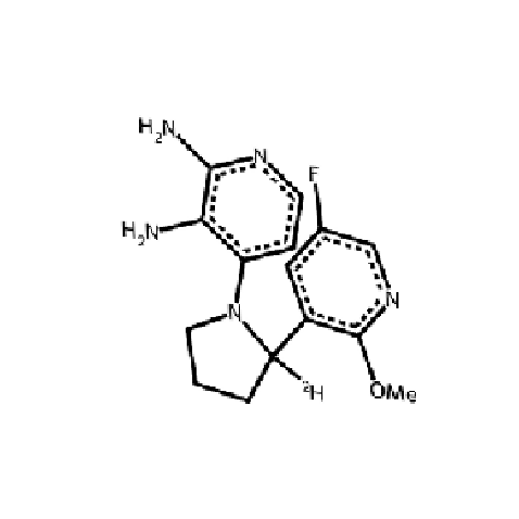 [2H]C1(c2cc(F)cnc2OC)CCCN1c1ccnc(N)c1N